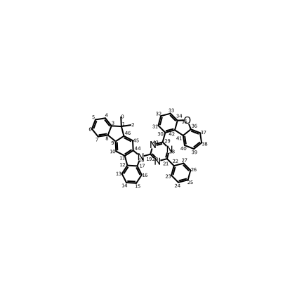 CC1(C)c2ccccc2-c2cc3c4ccccc4n(-c4nc(-c5ccccc5)nc(-c5cccc6oc7ccccc7c56)n4)c3cc21